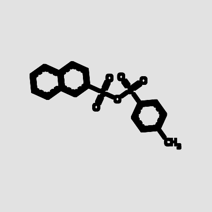 Cc1ccc(S(=O)(=O)OS(=O)(=O)c2ccc3ccccc3c2)cc1